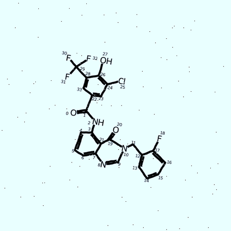 O=C(Nc1cccc2ncn(Cc3ccccc3F)c(=O)c12)c1cc(Cl)c(O)c(C(F)(F)F)c1